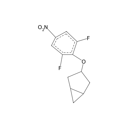 O=[N+]([O-])c1cc(F)c(OC2CC3CC3C2)c(F)c1